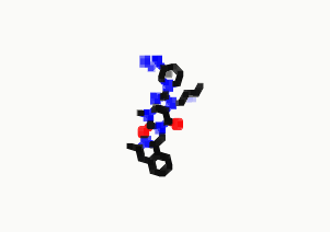 C/C=C/Cn1c(N2CCC[C@H](N)C2)nc2c1c(=O)n(Cc1nc(C)cc3ccccc13)c(=O)n2C